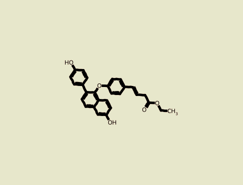 CCOC(=O)CC=Cc1ccc(Oc2c(-c3ccc(O)cc3)ccc3cc(O)ccc23)cc1